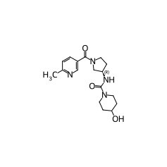 Cc1ccc(C(=O)N2CC[C@@H](NC(=O)N3CCC(O)CC3)C2)cn1